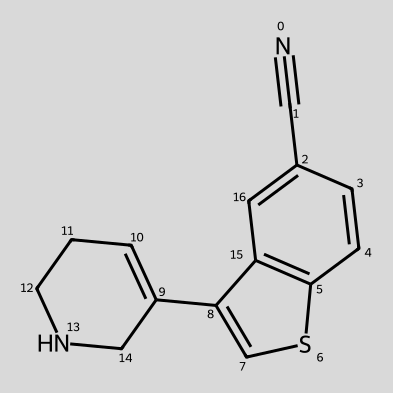 N#Cc1ccc2scc(C3=CCCNC3)c2c1